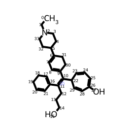 CCN1CCC(C2=CC=C(/C(=C(/CCCO)C3=CCCC=C3)C3C=CC=C(O)C=C3)CC2)CC1